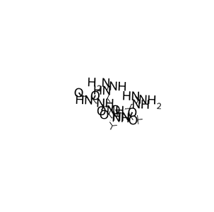 CC(C)C[C@@H](NC(=O)[C@H](CCCNC(=N)N)NC(=O)OC(C)(C)C)C(=O)N[C@@H](CCCNC(=N)N)C(=O)NCC(=O)NCC=O